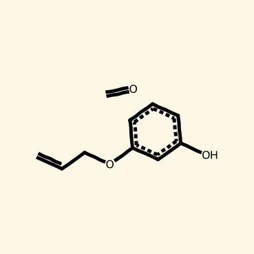 C=CCOc1cccc(O)c1.C=O